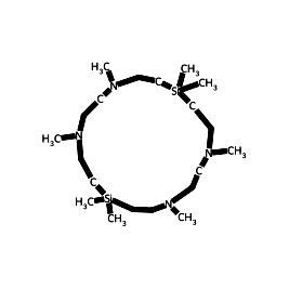 CN1CCN(C)CC[Si](C)(C)CCN(C)CCN(C)CC[Si](C)(C)CC1